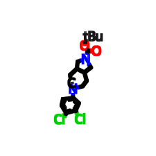 CC(C)(C)OC(=O)N1CC2CCN(c3ccc(Cl)c(Cl)c3)CCC2C1